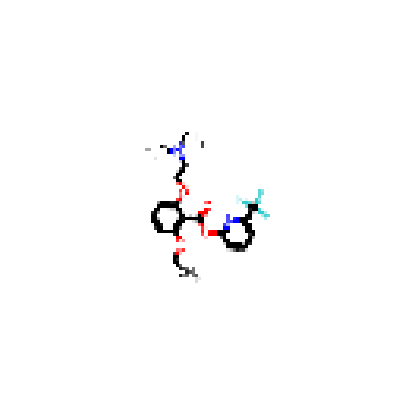 CCOc1cccc(OCCN(C)C)c1C(=O)Oc1cccc(C(F)(F)F)n1